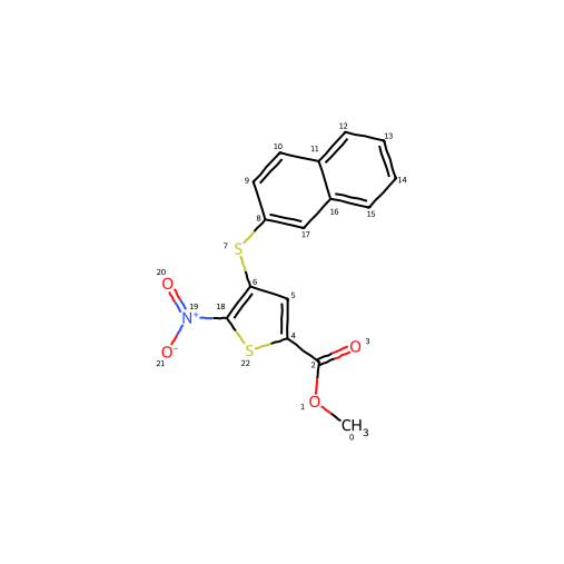 COC(=O)c1cc(Sc2ccc3ccccc3c2)c([N+](=O)[O-])s1